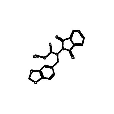 CC(C)(C)OC(=O)N(Cc1ccc2c(c1)OCO2)N1C(=O)c2ccccc2C1=O